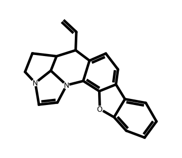 C=CC1c2ccc3c(oc4ccccc43)c2N2C=CN3CCC1C32